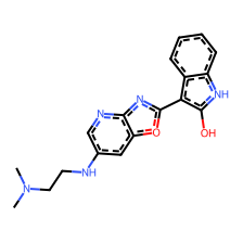 CN(C)CCNc1cnc2nc(-c3c(O)[nH]c4ccccc34)oc2c1